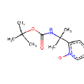 CC(C)(C)OC(=O)NC(C)(C)c1cccc[n+]1[O-]